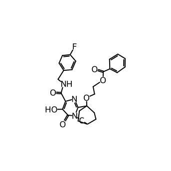 O=C(OCCOC12CCC(CC1)Cn1c2nc(C(=O)NCc2ccc(F)cc2)c(O)c1=O)c1ccccc1